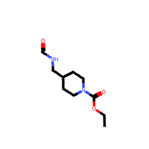 CCOC(=O)N1CCC(CN[C]=O)CC1